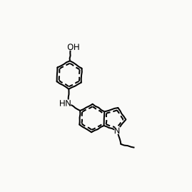 CCn1ccc2cc(Nc3ccc(O)cc3)ccc21